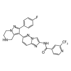 O=C(Nc1cn2nc(-c3c(-c4ccc(F)cc4)nn4c3CNCC4)ccc2n1)c1ccnc(C(F)(F)F)c1